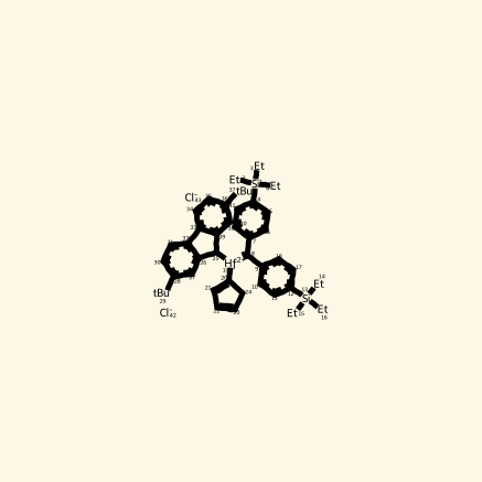 CC[Si](CC)(CC)c1ccc([C](c2ccc([Si](CC)(CC)CC)cc2)=[Hf+2]([C]2=CC=CC2)[CH]2c3cc(C(C)(C)C)ccc3-c3ccc(C(C)(C)C)cc32)cc1.[Cl-].[Cl-]